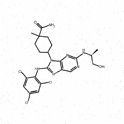 C[C@@H](CO)Nc1ncc2nc(Nc3c(Cl)cc(Cl)cc3Cl)n(C3CCC(C)(C(N)=O)CC3)c2n1